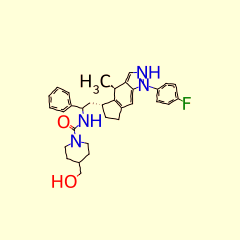 C[C@H]1C2=CNN(c3ccc(F)cc3)C2=CC2=C1[C@@H](CC(NC(=O)N1CCC(CO)CC1)c1ccccc1)CC2